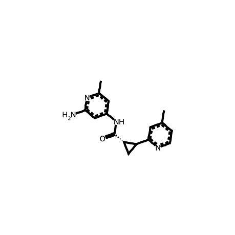 Cc1ccnc(C2C[C@@H]2C(=O)Nc2cc(C)nc(N)c2)c1